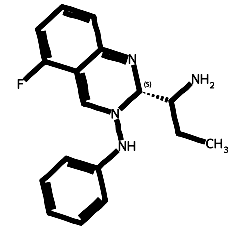 CCC(N)[C@H]1N=c2cccc(F)c2=CN1Nc1ccccc1